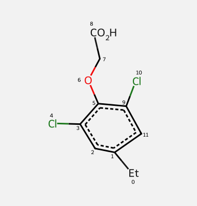 CCc1cc(Cl)c(OCC(=O)O)c(Cl)c1